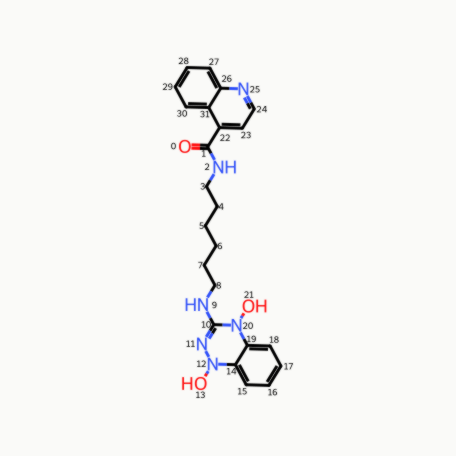 O=C(NCCCCCCNC1=NN(O)c2ccccc2N1O)c1ccnc2ccccc12